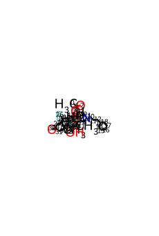 CC(=O)OCC(=O)[C@@]12CN(CCCc3ccccc3)C[C@@H]1C[C@H]1[C@@H]3C[C@H](F)C4=CC(=O)C=C[C@]4(C)[C@@]3(F)[C@@H](O)C[C@@]12C